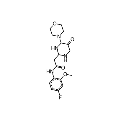 COc1cc(F)ccc1NC(=O)CC1NCC(=O)C(N2CCOCC2)N1